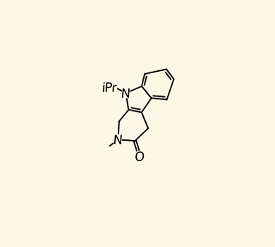 CC(C)n1c2c(c3ccccc31)CC(=O)N(C)C2